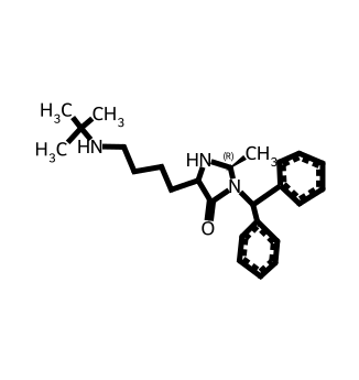 C[C@@H]1NC(CCCCNC(C)(C)C)C(=O)N1C(c1ccccc1)c1ccccc1